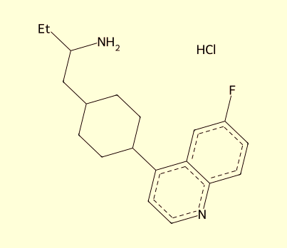 CCC(N)CC1CCC(c2ccnc3ccc(F)cc23)CC1.Cl